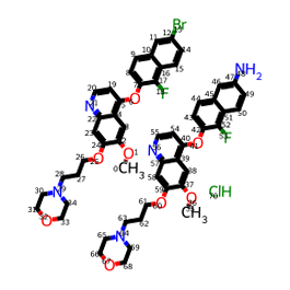 COc1cc2c(Oc3ccc4cc(Br)ccc4c3F)ccnc2cc1OCCCN1CCOCC1.COc1cc2c(Oc3ccc4cc(N)ccc4c3F)ccnc2cc1OCCCN1CCOCC1.Cl